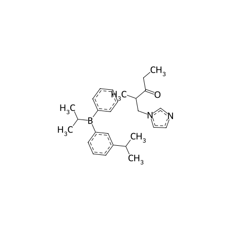 CC(C)B(c1ccccc1)c1cccc(C(C)C)c1.CCC(=O)C(C)Cn1ccnc1